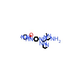 Cc1nc(N)cc(-c2c(Nc3ccc(NC(=O)N4CCN(C)CC4)cc3)nc3cccnn23)n1